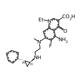 CCn1cc(C(=O)O)c(=O)c2c(N)c(F)c(N(C)CCN[C@H]3C[C@@H]3c3ccccc3)cc21